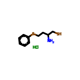 Cl.NC(CS)CCSc1ccccc1